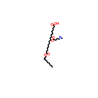 CCCCCC/C=C\COC(=O)CCCCCCCC(CCCCCCCCC(=O)O)OC(=O)CCCN(C)C